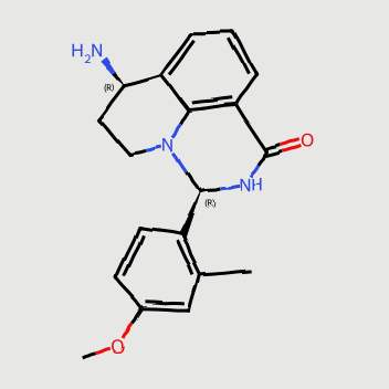 COc1ccc([C@@H]2NC(=O)c3cccc4c3N2CC[C@H]4N)c(C)c1